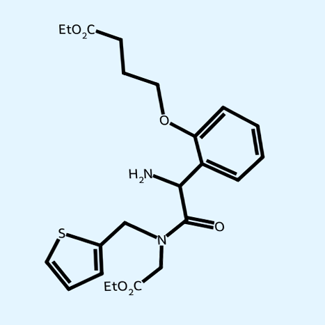 CCOC(=O)CCCOc1ccccc1C(N)C(=O)N(CC(=O)OCC)Cc1cccs1